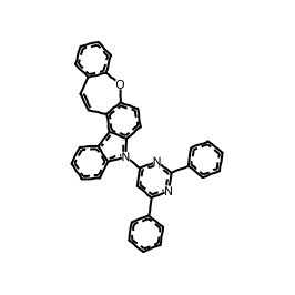 C1=Cc2c(ccc3c2c2ccccc2n3-c2cc(-c3ccccc3)nc(-c3ccccc3)n2)Oc2ccccc21